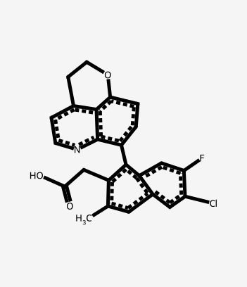 Cc1cc2cc(Cl)c(F)cc2c(-c2ccc3c4c(ccnc24)CCO3)c1CC(=O)O